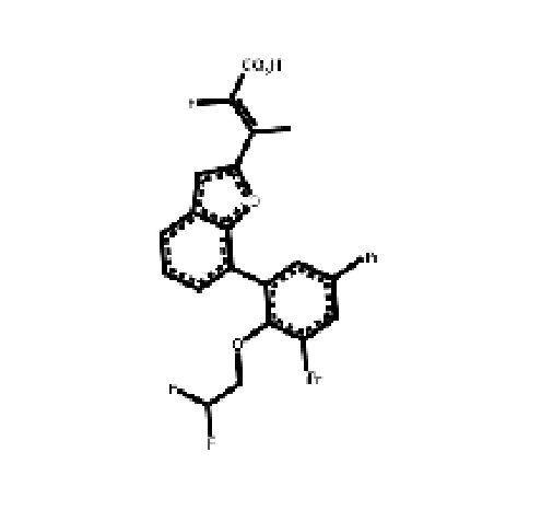 CC(=C(F)C(=O)O)c1cc2cccc(-c3cc(C(C)C)cc(C(C)C)c3OCC(F)F)c2o1